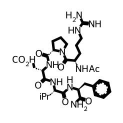 CC(=O)N[C@@H](CCCNC(=N)N)C(=O)N1CCC[C@H]1C(=O)N[C@@H](CC(=O)O)C(=O)N[C@H](C(=O)N[C@@H](Cc1ccccc1)C(N)=O)C(C)C